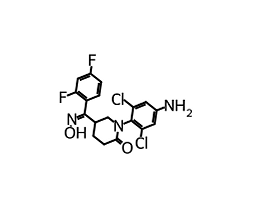 Nc1cc(Cl)c(N2CC(/C(=N\O)c3ccc(F)cc3F)CCC2=O)c(Cl)c1